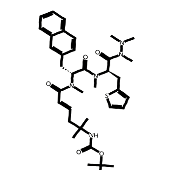 CN(C(=O)/C=C/CC(C)(C)NC(=O)OC(C)(C)C)[C@H](Cc1ccc2ccccc2c1)C(=O)N(C)[C@H](Cc1cccs1)C(=O)N(C)N(C)C